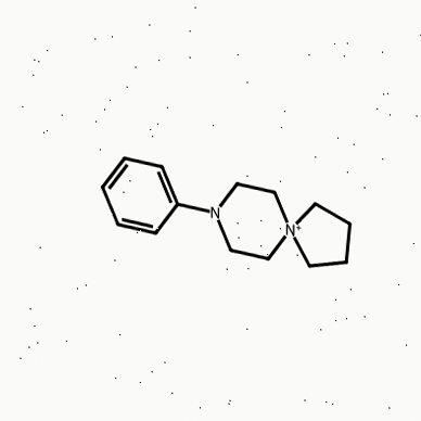 c1ccc(N2CC[N+]3(CCCC3)CC2)cc1